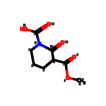 COC(=O)C1CCCN(C(=O)O)C1=O